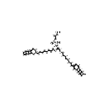 O=P(O)(OC[C@@H](O)CO)OC[C@@H](COCCCCCCCCC1CCC2C(C1)C1C3CCC3C21)OCCCCCCCCC1CCC2C(C1)C1C3CCC3C21